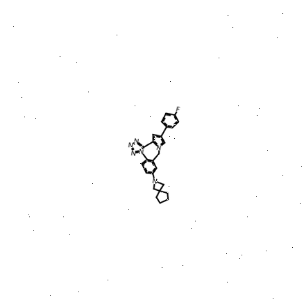 Fc1ccc(-c2cc3n(c2)Cc2cc(N4CC5(CCCC5)C4)ccc2-n2nnnc2-3)cc1